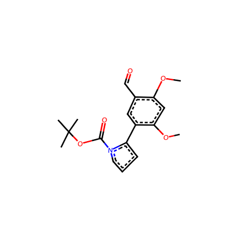 COc1cc(OC)c(-c2cccn2C(=O)OC(C)(C)C)cc1C=O